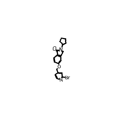 O=C1c2ccc(OCc3ccnc(Br)c3)cc2CN1C1CCCC1